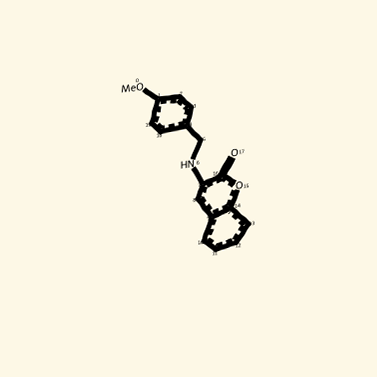 COc1ccc(CNc2cc3ccccc3oc2=O)cc1